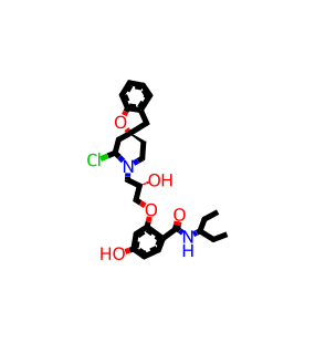 CCC(CC)NC(=O)c1ccc(O)cc1OC[C@@H](O)CN1CC[C@@]2(Cc3ccccc3O2)CC1Cl